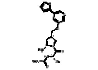 COC(=O)N[C@H](C(=O)N1C[C@H](COc2cncc(-c3cccs3)c2)C[C@H]1C(=O)O)C(C)(C)C